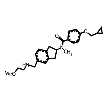 COCCNCc1ccc2c(c1)C[C@H](N(C)C(=O)c1ccc(OCC3CC3)cc1)C2